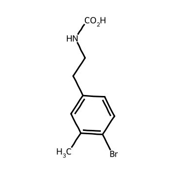 Cc1cc(CCNC(=O)O)ccc1Br